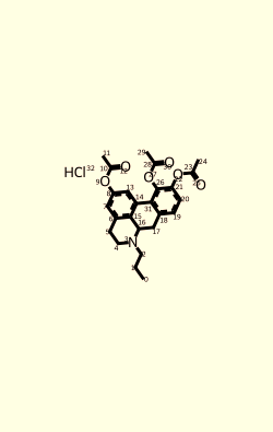 CCCN1CCc2cc(OC(C)=O)cc3c2C1Cc1ccc(OC(C)=O)c(OC(C)=O)c1-3.Cl